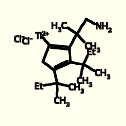 CCC(C)(C)C1=C(C(C)(C)CC)C(C(C)(C)CN)=[C]([Ti+2])C1.[Cl-].[Cl-]